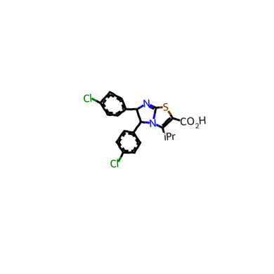 CC(C)C1=C(C(=O)O)SC2=NC(c3ccc(Cl)cc3)C(c3ccc(Cl)cc3)N21